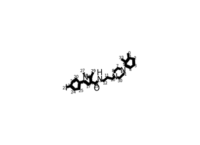 Cc1cccc(N2CCN(CCCNC(=O)c3cc(-c4ccc(I)cc4)n(C)c3C)CC2)c1C